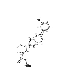 CC(C)(C)OC(=O)N1CCCC(n2cc3ccc(-c4cccc(C#N)c4)cc3n2)C1